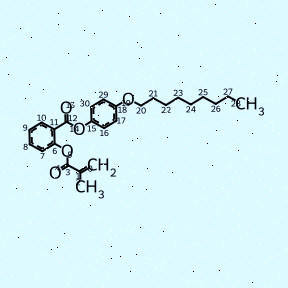 C=C(C)C(=O)Oc1ccccc1C(=O)Oc1ccc(OCCCCCCCCC)cc1